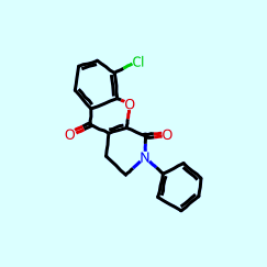 O=C1c2oc3c(Cl)cccc3c(=O)c2CCN1c1ccccc1